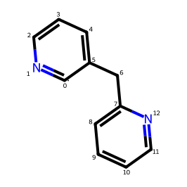 [c]1ncccc1Cc1ccccn1